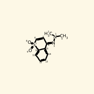 CN(C)/N=C1\C=CS(=O)(=O)c2ccccc21